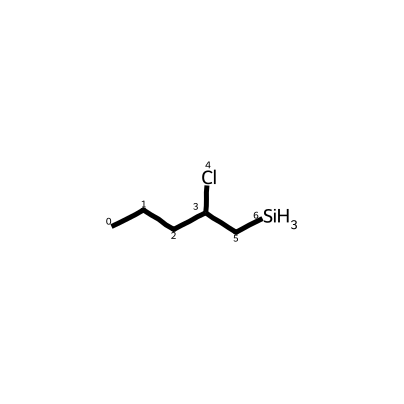 CCCC(Cl)C[SiH3]